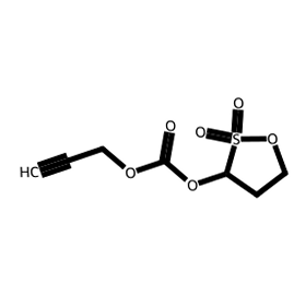 C#CCOC(=O)OC1CCOS1(=O)=O